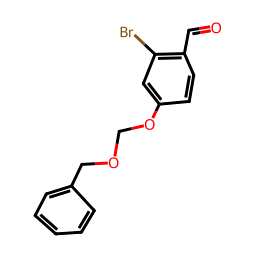 O=Cc1ccc(OCOCc2ccccc2)cc1Br